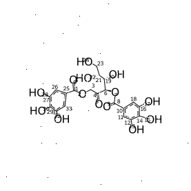 O=C(OCC(=O)[C@H](OC(=O)c1cc(O)c(O)c(O)c1)[C@@H](O)[C@H](O)CO)c1cc(O)c(O)c(O)c1